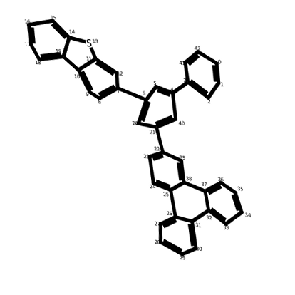 c1ccc(-c2cc(-c3ccc4c(c3)sc3ccccc34)cc(-c3ccc4c5ccccc5c5ccccc5c4c3)c2)cc1